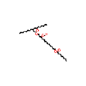 CCCCCCCCC(CCCCCCCC)CC(=O)OCCC(CCCCCCCCCCOC(=O)CCCCCCC)OC=O